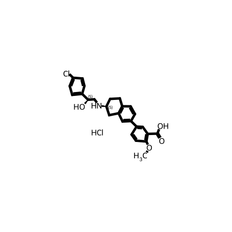 COc1ccc(-c2ccc3c(c2)C[C@@H](NC[C@@H](O)c2ccc(Cl)cc2)CC3)cc1C(=O)O.Cl